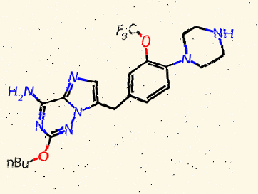 CCCCOc1nc(N)c2ncc(Cc3ccc(N4CCNCC4)c(OC(F)(F)F)c3)n2n1